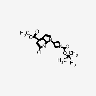 COC(=O)c1cc(Cl)nc2c1ccn2C1CN(C(=O)OC(C)(C)C)C1